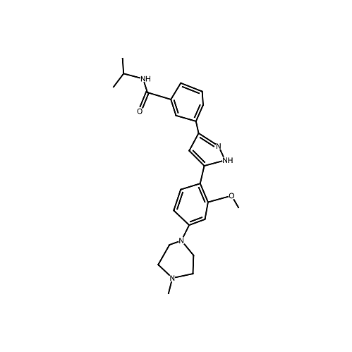 COc1cc(N2CCN(C)CC2)ccc1-c1cc(-c2cccc(C(=O)NC(C)C)c2)n[nH]1